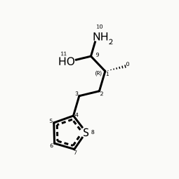 C[C@H](CCc1cccs1)C(N)O